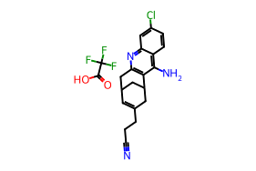 N#CCCC1=CC2Cc3nc4cc(Cl)ccc4c(N)c3C(C1)C2.O=C(O)C(F)(F)F